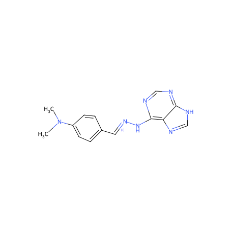 CN(C)c1ccc(/C=N/Nc2ncnc3[nH]cnc23)cc1